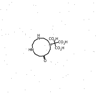 O=C1CCNCCNCCN(C(C(=O)O)(C(=O)O)C(=O)O)CC1